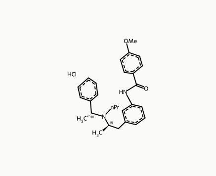 CCCN([C@H](C)Cc1cccc(NC(=O)c2ccc(OC)cc2)c1)[C@H](C)c1ccccc1.Cl